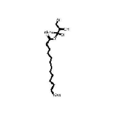 CCCCCCCCCCCCCCCCCCCCCC(=O)OC(CC)(CCCCCC)C(O)CO